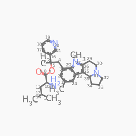 Cc1cc(CC(C)(OC(=O)C(N)CC(C)C)c2cccnc2)c2c(c1)c1c(n2C)CCN2CCCC12